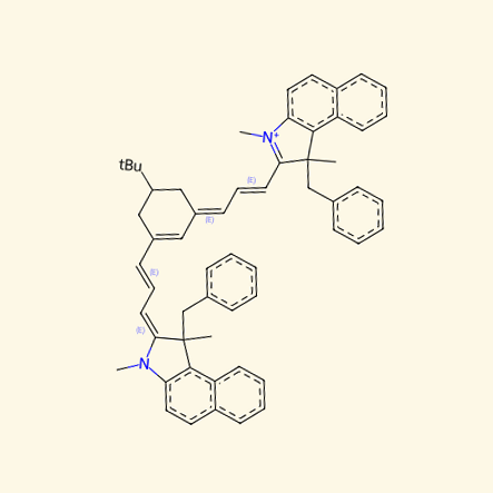 CN1/C(=C/C=C/C2=CC(=C/C=C/C3=[N+](C)c4ccc5ccccc5c4C3(C)Cc3ccccc3)/CC(C(C)(C)C)C2)C(C)(Cc2ccccc2)c2c1ccc1ccccc21